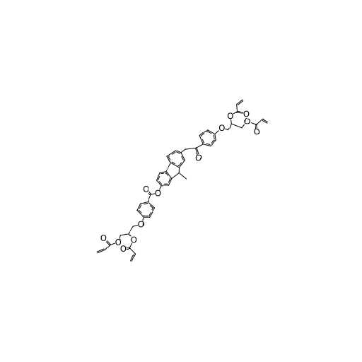 C=CC(=O)OCC(COc1ccc(C(=O)Cc2ccc3c(c2)C(C)c2cc(OC(=O)c4ccc(OCC(COC(=O)C=C)OC(=O)C=C)cc4)ccc2-3)cc1)OC(=O)C=C